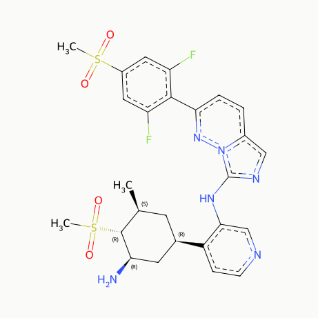 C[C@H]1C[C@@H](c2ccncc2Nc2ncc3ccc(-c4c(F)cc(S(C)(=O)=O)cc4F)nn23)C[C@@H](N)[C@@H]1S(C)(=O)=O